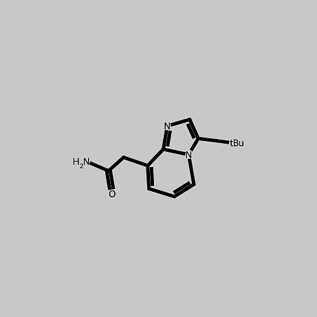 CC(C)(C)c1cnc2c(CC(N)=O)cccn12